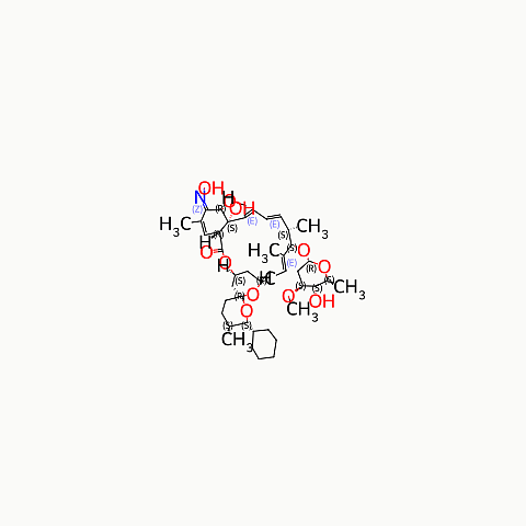 CO[C@H]1C[C@H](O[C@@H]2/C(C)=C/C[C@@H]3C[C@@H](C[C@]4(CC[C@H](C)[C@@H](C5CCCCC5)O4)O3)OC(=O)[C@@H]3C=C(C)/C(=N/O)[C@H]4OC/C(=C\C=C\[C@@H]2C)[C@]43O)O[C@@H](C)[C@@H]1O